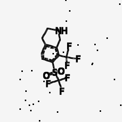 O=S(=O)(c1ccc2c(c1C(F)(F)F)CNCC2)C(F)(F)F